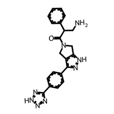 NCC(C(=O)N1Cc2[nH]nc(-c3ccc(-c4nn[nH]n4)cc3)c2C1)c1ccccc1